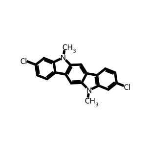 Cn1c2cc(Cl)ccc2c2cc3c(cc21)c1ccc(Cl)cc1n3C